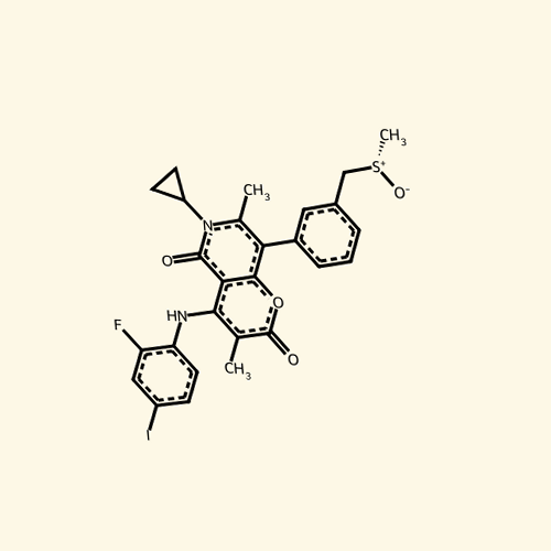 Cc1c(Nc2ccc(I)cc2F)c2c(=O)n(C3CC3)c(C)c(-c3cccc(C[S@+](C)[O-])c3)c2oc1=O